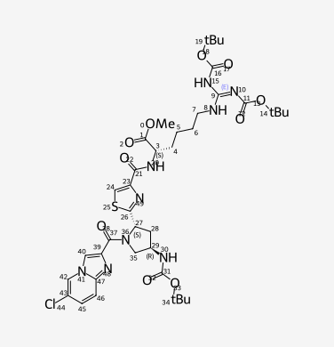 COC(=O)[C@H](CCCCN/C(=N\C(=O)OC(C)(C)C)NC(=O)OC(C)(C)C)NC(=O)c1csc([C@@H]2C[C@@H](NC(=O)OC(C)(C)C)CN2C(=O)c2cn3cc(Cl)ccc3n2)n1